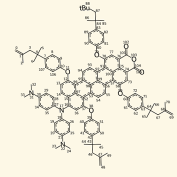 C=C(C)CC(C)(C)c1ccc(Oc2ccc3c(N(c4ccc(N(C)C)cc4)c4ccc(N(C)C)cc4)cc(Oc4ccc(C(C)(C)CC(=C)C)cc4)c4c5ccc6c7c(Oc8ccc(C(C)(C)CC(=C)C)cc8)cc8c9c(cc(Oc%10ccc(C(C)(C)CC(C)(C)C)cc%10)c(c%10ccc(c2c34)c5c%106)c97)C(=O)OC8=O)cc1